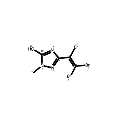 Cn1nc(C(Br)=C(Br)Br)nc1O